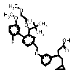 COCCO[C@H](c1cc(COc2cccc([C@@H](CC(=O)O)CC3CC3)c2)ccc1-c1cc(OC)ccc1F)C(C)(C)C